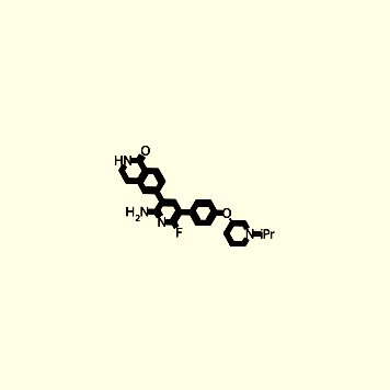 CC(C)N1CCC[C@H](Oc2ccc(-c3cc(-c4ccc5c(c4)CCNC5=O)c(N)nc3F)cc2)C1